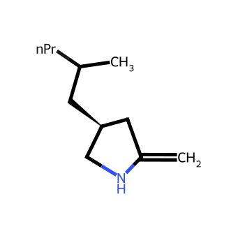 C=C1C[C@H](CC(C)CCC)CN1